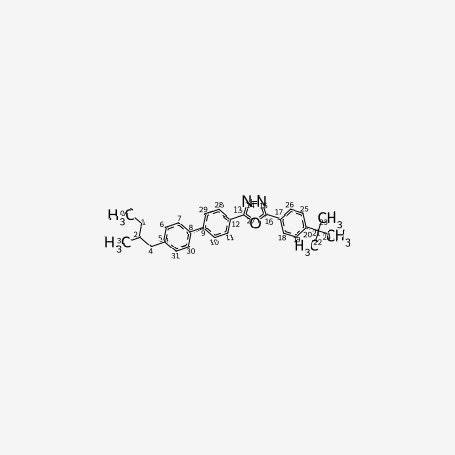 CCC(C)Cc1ccc(-c2ccc(-c3nnc(-c4ccc(C(C)(C)C)cc4)o3)cc2)cc1